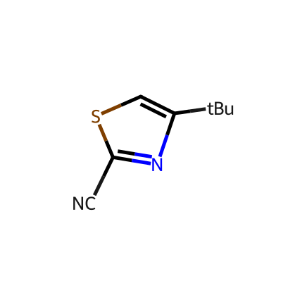 CC(C)(C)c1csc(C#N)n1